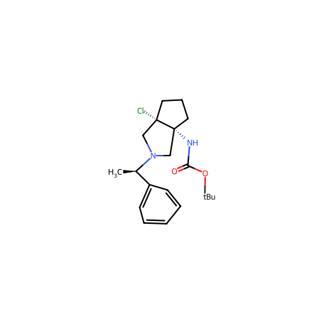 C[C@H](c1ccccc1)N1C[C@@]2(Cl)CCC[C@@]2(NC(=O)OC(C)(C)C)C1